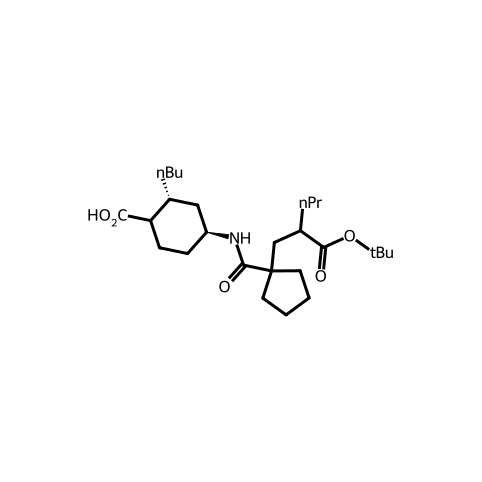 CCCC[C@@H]1C[C@@H](NC(=O)C2(CC(CCC)C(=O)OC(C)(C)C)CCCC2)CCC1C(=O)O